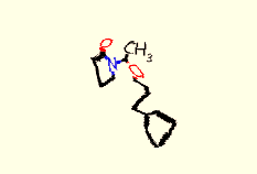 CC(OC/C=C/c1ccccc1)N1CCCC1=O